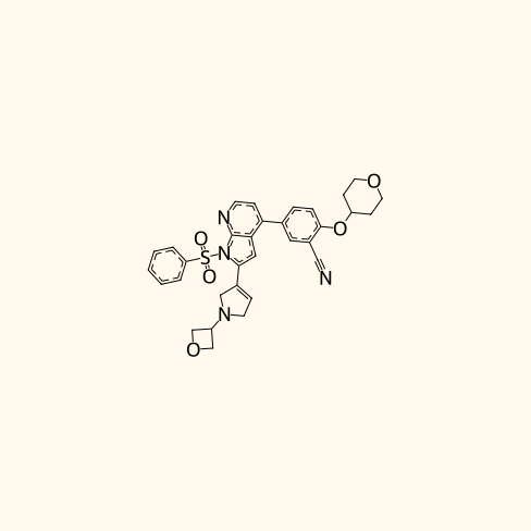 N#Cc1cc(-c2ccnc3c2cc(C2=CCN(C4COC4)C2)n3S(=O)(=O)c2ccccc2)ccc1OC1CCOCC1